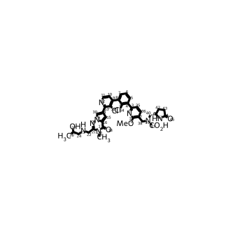 COc1nc(-c2cccc(-c3ccnc(-c4cc5c(=O)n(C)c(CNCC(C)O)nn5c4)c3Cl)c2Cl)ccc1CN(C[C@@H]1CCC(=O)N1)C(=O)O